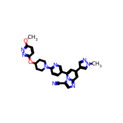 COc1ccc(OC2CCN(c3ccc(-c4cc(-c5cnn(C)c5)cc5ncc(C#N)n45)cn3)CC2)nn1